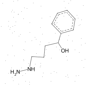 NNCCCC(O)c1ccccc1